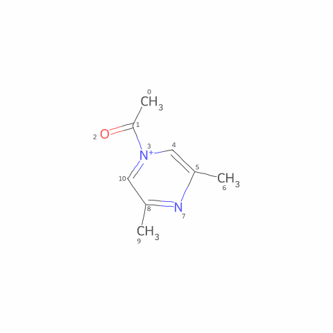 CC(=O)[n+]1cc(C)nc(C)c1